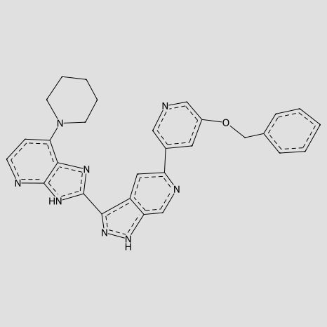 c1ccc(COc2cncc(-c3cc4c(-c5nc6c(N7CCCCC7)ccnc6[nH]5)n[nH]c4cn3)c2)cc1